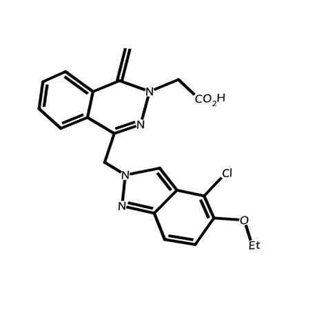 C=C1c2ccccc2C(Cn2cc3c(Cl)c(OCC)ccc3n2)=NN1CC(=O)O